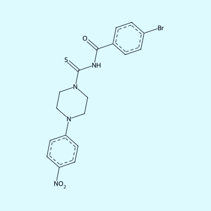 O=C(NC(=S)N1CCN(c2ccc([N+](=O)[O-])cc2)CC1)c1ccc(Br)cc1